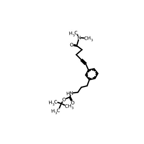 CN(C)C(=O)CCC#Cc1cccc(CCCNC(=O)OC(C)(C)C)c1